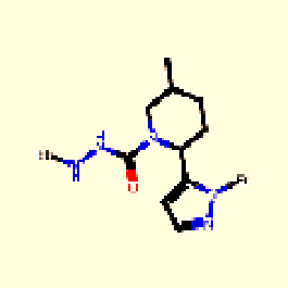 CCNNC(=O)N1CC(C)CCC1c1ccnn1CC